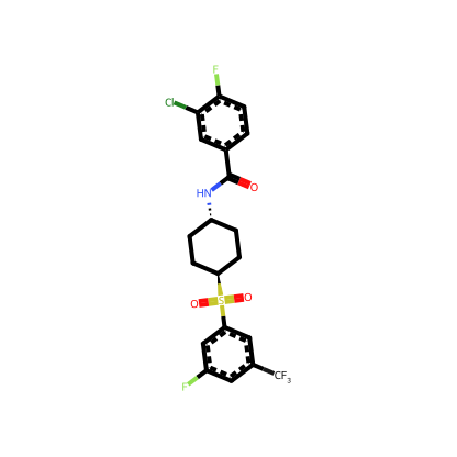 O=C(N[C@H]1CC[C@H](S(=O)(=O)c2cc(F)cc(C(F)(F)F)c2)CC1)c1ccc(F)c(Cl)c1